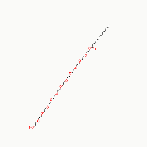 CCCCCCCCCCCC(=O)OCCOCCOCCOCCOCCOCCOCCOCCOCCOCCOCCOCCO